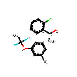 O=C(O)C(F)(F)Oc1cccc(C(F)(F)F)c1.O=C(O)[C@@H](O)c1ccccc1Cl